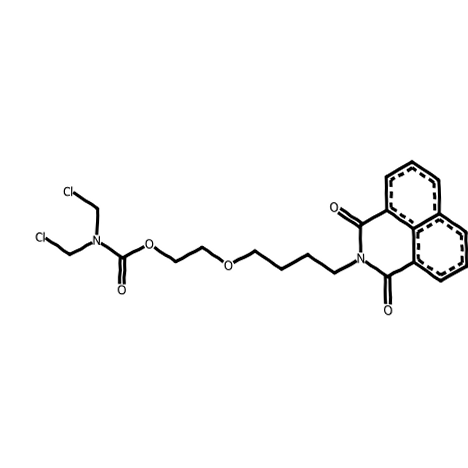 O=C(OCCOCCCCN1C(=O)c2cccc3cccc(c23)C1=O)N(CCl)CCl